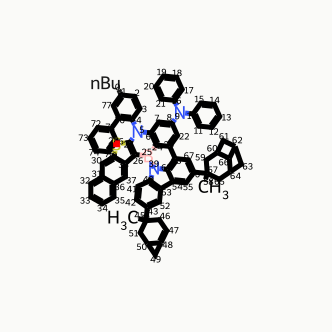 CCCCc1ccc(N2c3cc(N(c4ccccc4)c4ccccc4)cc4c3B(c3c2sc2cc5ccccc5cc32)n2c3ccc(C5(C)CC=C6CC6C5)cc3c3cc(C5(C)CC6CC7CC(C5)C76)cc-4c32)c(-c2ccccc2)c1